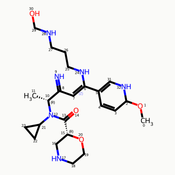 COC1C=CC(/C(=C/C(=N)[C@@H](C)N(C(=O)[C@H]2CNCCO2)C2CC2)NCCCNCO)=CN1